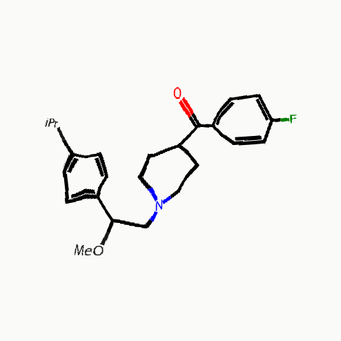 COC(CN1CCC(C(=O)c2ccc(F)cc2)CC1)c1ccc(C(C)C)cc1